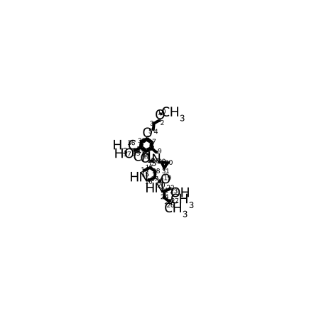 COCCCOc1cc(CN(C(=O)[C@H]2CNC[C@@H](C(=O)NC(CO)CC(C)C)C2)C2CC2)cc(C(C)(C)O)c1